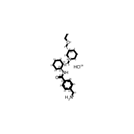 CCOC[C@@H]1CCCN(C[C@H]2CCCC[C@@H]2NC(=O)c2ccc(CN)cc2)C1.Cl